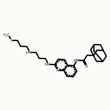 CSCCCNCCCNc1ccc2c(NC(=O)CC34CC5CC(CC(C5)C3)C4)cccc2n1